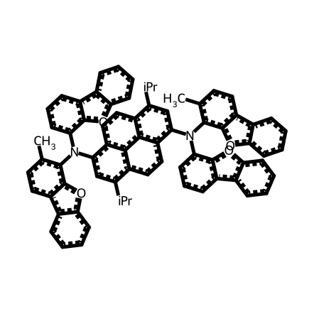 Cc1ccc2c(oc3ccccc32)c1N(c1cc(C(C)C)c2ccc3c(N(c4cccc5c4oc4ccccc45)c4c(C)ccc5c4oc4ccccc45)cc(C(C)C)c4ccc1c2c43)c1cccc2c1oc1ccccc12